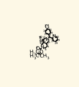 CC(C)(C)OC(=O)N1CCC(CN(CC(F)(F)F)C(c2ccc(Cl)cc2)c2ccccn2)CC1